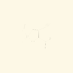 C#CC1CP(=O)(OC)OC1C(F)F